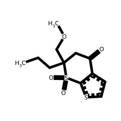 CCCC1(COC)CC(=O)c2ccsc2S1(=O)=O